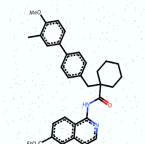 CCOC(=O)c1ccc2c(NC(=O)C3(Cc4ccc(-c5ccc(OC)c(C)c5)cc4)CCCCC3)nccc2c1